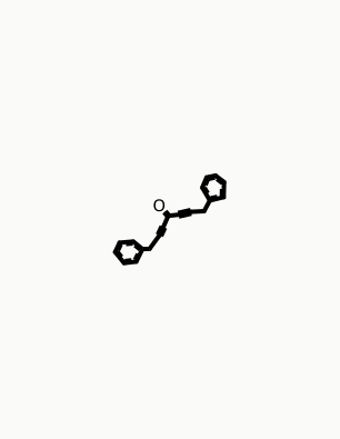 O=C(C#CCc1ccccc1)C#CCc1ccccc1